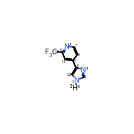 [2H]n1cnc(-c2ccnc(C(F)(F)F)c2)c1